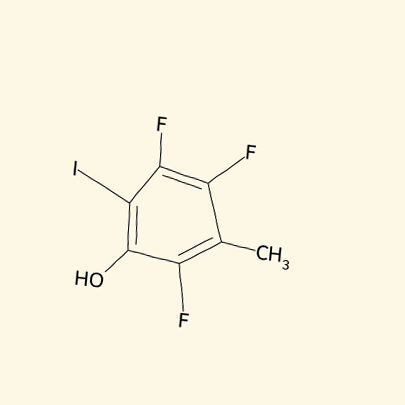 Cc1c(F)c(O)c(I)c(F)c1F